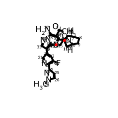 CC(=O)c1c(C2C[C@H]3CC[C@@H](C2)N3C(=O)CO)nc2c(-c3cnc(-c4ccn(C)n4)c(F)c3)cnn2c1N